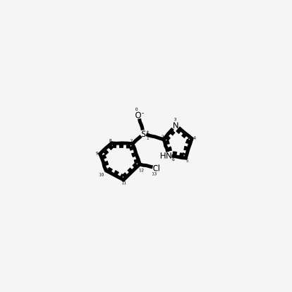 [O-][S+](c1ncc[nH]1)c1ccccc1Cl